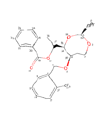 CCC[C@H]1OC[C@@H](OCc2ccccc2C(F)(F)F)[C@@H](C(C)OC(=O)c2ccccc2)O1